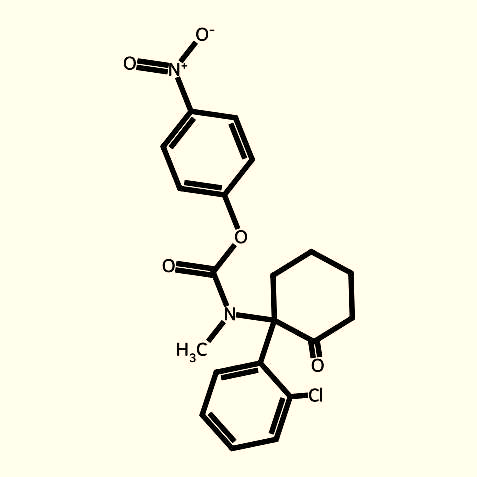 CN(C(=O)Oc1ccc([N+](=O)[O-])cc1)C1(c2ccccc2Cl)CCCCC1=O